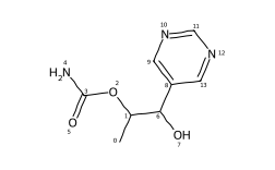 CC(OC(N)=O)C(O)c1cncnc1